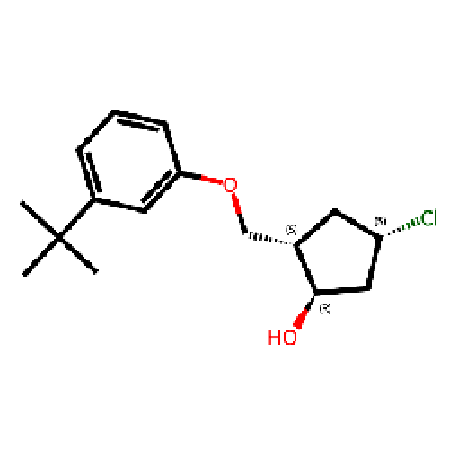 CC(C)(C)c1cccc(OC[C@@H]2C[C@H](Cl)C[C@H]2O)c1